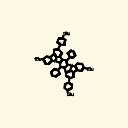 CC(C)(C)c1ccc(-c2cc3c4cc(C(C)(C)C)ccc4n4c5c(-c6ccccc6)c6c7cc(-c8ccc(C(C)(C)C)cc8)cc8c9cc(C(C)(C)C)ccc9n(c6c(-c6ccccc6)c5c(c2)c34)c87)cc1